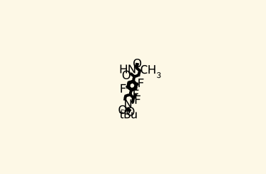 C[C@H]1CC(c2cc(F)c(C3CCN(C(=O)OC(C)(C)C)CC3(F)F)cc2F)C(=O)NC1=O